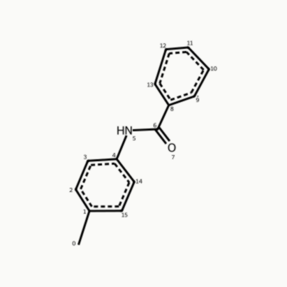 Cc1ccc(NC(=O)c2[c]cccc2)cc1